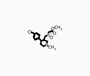 COC(=O)C[S+]([O-])CC1CN(C)CCC1c1ccc(Cl)cc1